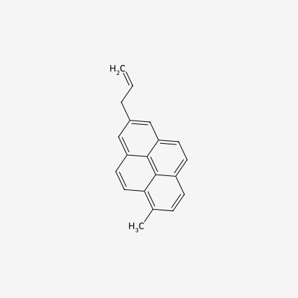 C=CCc1cc2ccc3ccc(C)c4ccc(c1)c2c34